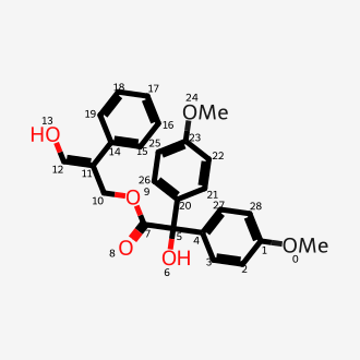 COc1ccc(C(O)(C(=O)OCC(=CO)c2ccccc2)c2ccc(OC)cc2)cc1